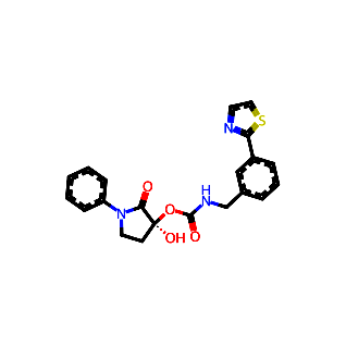 O=C(NCc1cccc(-c2nccs2)c1)O[C@@]1(O)CCN(c2ccccc2)C1=O